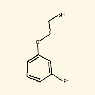 CC(C)c1cccc(OCCS)c1